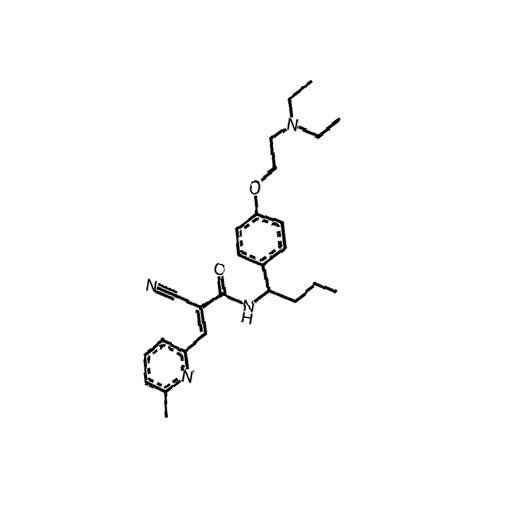 CCCC(NC(=O)/C(C#N)=C/c1cccc(C)n1)c1ccc(OCCN(CC)CC)cc1